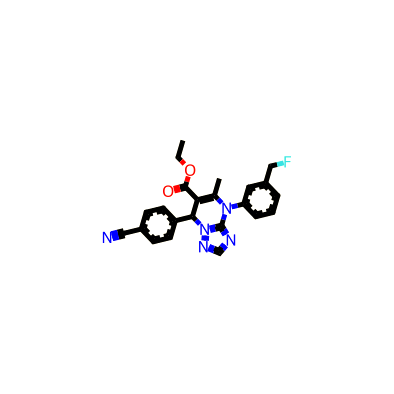 CCOC(=O)C1=C(C)N(c2cccc(CF)c2)c2ncnn2C1c1ccc(C#N)cc1